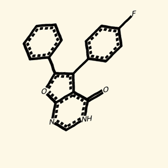 O=c1[nH]cnc2oc(-c3ccccc3)c(-c3ccc(F)cc3)c12